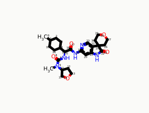 CC1CCC([C@H](NC(=O)N(C)C2CCOC2)C(=O)Nc2cc3c(cn2)C2(CCOCC2)C(=O)N3)CC1